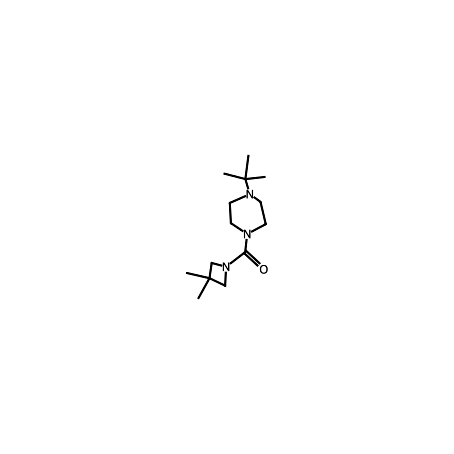 CC1(C)CN(C(=O)N2CCN(C(C)(C)C)CC2)C1